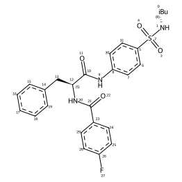 CC[C@@H](C)NS(=O)(=O)c1ccc(NC(=O)[C@H](Cc2ccccc2)NC(=O)c2ccc(F)cc2)cc1